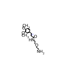 COc1ccc(/C=C/C(=O)NCCOCCN)cc1OC